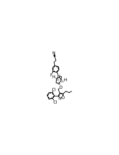 CCCc1onc(-c2c(Cl)cccc2Cl)c1CO[C@@H]1C[C@@H]2C[C@H]1CN2c1ccc(CCC#N)cc1F